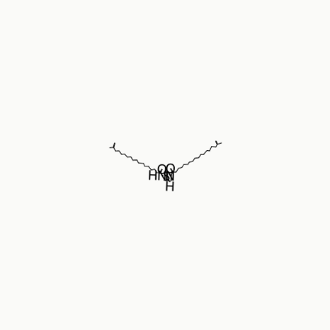 C=C[Si](C)(NC(=O)CCCCCCCCCCCCCCCC(=C)C)NC(=O)CCCCCCCCCCCCCCCC(=C)C